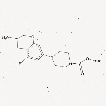 CC(C)(C)OC(=O)N1CCN(c2cc(F)c3c(c2)OCC(N)C3)CC1